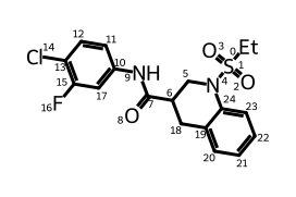 CCS(=O)(=O)N1CC(C(=O)Nc2ccc(Cl)c(F)c2)Cc2ccccc21